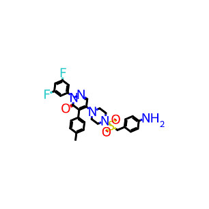 Cc1ccc(-c2c(N3CCN(S(=O)(=O)Cc4ccc(N)cc4)CC3)cnn(-c3cc(F)cc(F)c3)c2=O)cc1